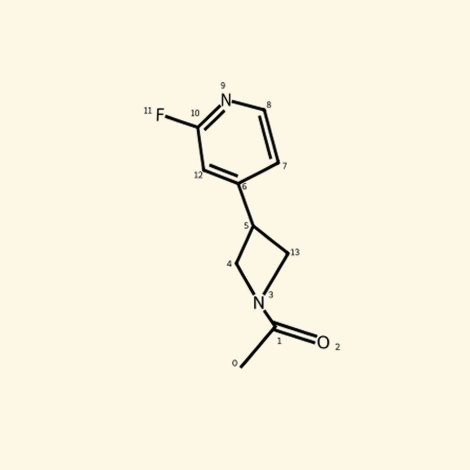 CC(=O)N1CC(c2ccnc(F)c2)C1